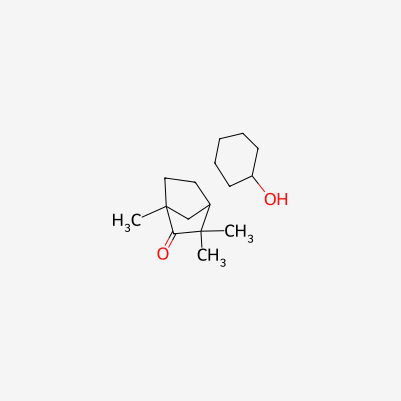 CC12CCC(C1)C(C)(C)C2=O.OC1CCCCC1